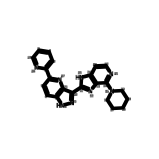 c1ccc(-c2ccc3[nH]nc(-c4nc5c(N6CCCCC6)nccc5[nH]4)c3n2)nc1